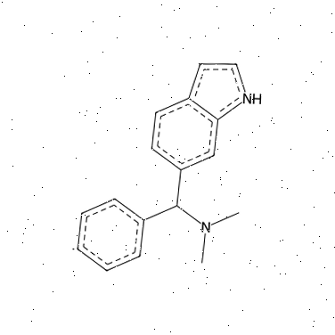 CN(C)C(c1cc[c]cc1)c1ccc2cc[nH]c2c1